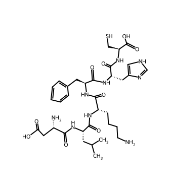 CC(C)C[C@H](NC(=O)[C@@H](N)CC(=O)O)C(=O)N[C@@H](CCCCN)C(=O)N[C@@H](Cc1ccccc1)C(=O)N[C@@H](Cc1c[nH]cn1)C(=O)N[C@@H](CS)C(=O)O